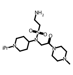 CC(C)N1CCC(N(CC(=O)N2CCN(C)CC2)S(=O)(=O)CCN)CC1